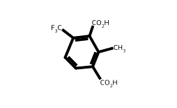 Cc1c(C(=O)O)ccc(C(F)(F)F)c1C(=O)O